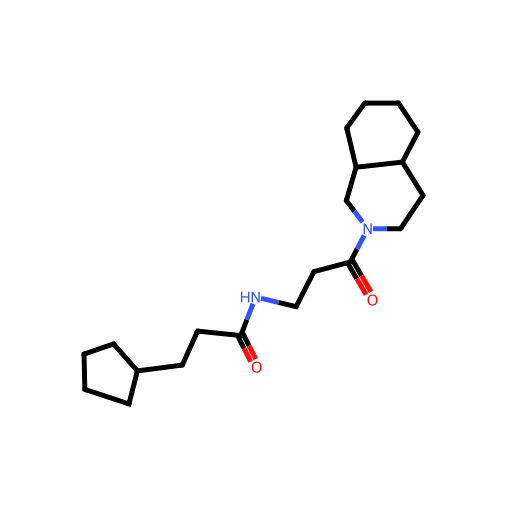 O=C(CCC1CCCC1)NCCC(=O)N1CCC2CCCCC2C1